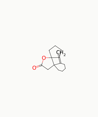 C=C1CCCCC12CC(=O)OC21CCCC1